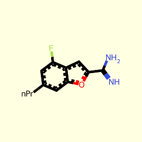 CCCc1cc(F)c2cc(C(=N)N)oc2c1